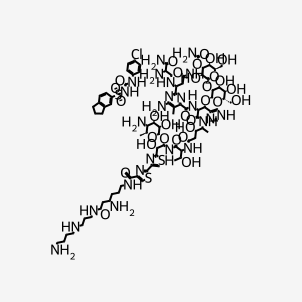 Cc1c(N)nc(C(CC(N)=O)NCC(N)C(N)=O)nc1C(=O)NC(C(=O)NC(C)C(O)CC(=O)NC(C(=O)NC(O[C@@H]1O[C@@H](C)[C@@H](N)[C@@H](O)[C@H]1O)C(O)c1nc(-c2nc(C(=O)NCCCC(N)CC(=O)NCCCNCCCCN)cs2)cs1)C(C)O)C(O[C@@H]1O[C@@H](CO)[C@@H](O)[C@H](O)[C@@H]1O[C@H]1O[C@H](CO)[C@@H](O)[C@H](OC(N)=O)[C@@H]1O)c1c[nH]cn1.O=C(Nc1ccc(Cl)cc1)NS(=O)(=O)c1ccc2c(c1)CCC2